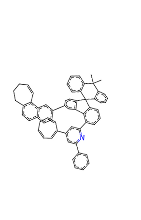 CC1(C)c2ccccc2C2(c3ccc(-c4ccc5ccc6c(c5c4)C=CCCC6)cc3-c3c(-c4cc(C5=CC=CCC=C5)cc(-c5ccccc5)n4)cccc32)c2ccccc21